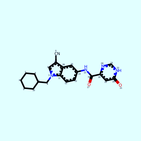 N#Cc1cn(CC2CCCCC2)c2ccc(NC(=O)c3cc(=O)[nH]cn3)cc12